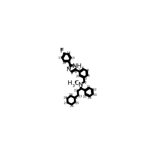 CN(Cc1cccc(-c2cnc(-c3ccc(F)cc3)[nH]2)c1)C(CCC1CCCCC1)c1ccccc1